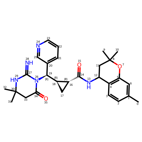 Cc1ccc2c(c1)OC(C)(C)CC2NC(=O)[C@@H]1C[C@H]1[C@H](c1cccnc1)N1C(=N)NC(C)(C)CC1=O